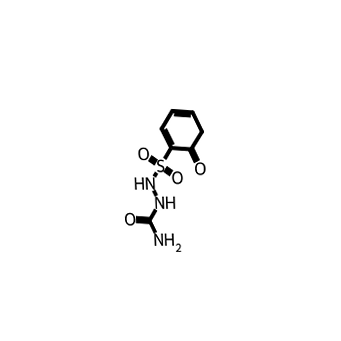 NC(=O)NNS(=O)(=O)C1=CC=CCC1=O